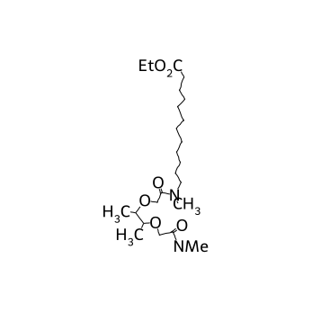 CCOC(=O)CCCCCCCCCCCN(C)C(=O)COC(C)C(C)OCC(=O)NC